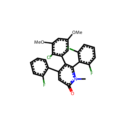 COc1cc(OC)c(Cl)c(-c2c(-c3ccccc3F)cc(=O)n(C)c2-c2c(F)cccc2F)c1